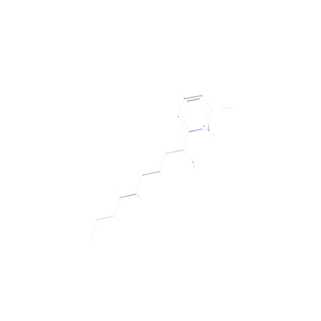 CCCCCCCCC(I)c1cccc(C)n1